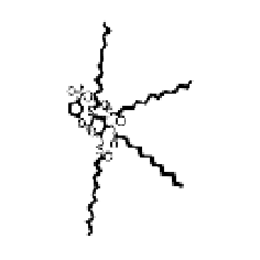 CCCCCCCCCCCC(=O)SC[C@H]1O[C@H](OC2CCC(S(C)(=O)=O)C2)[C@@H](SC(=O)CCCCCCCCCCC)[C@H](SC(=O)CCCCCCCCCCC)[C@H]1SC(=O)CCCCCCCCCCC